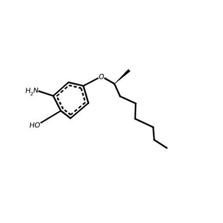 CCCCCC[C@H](C)Oc1ccc(O)c(N)c1